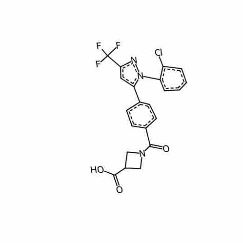 O=C(O)C1CN(C(=O)c2ccc(-c3cc(C(F)(F)F)nn3-c3ccccc3Cl)cc2)C1